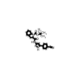 CC(C)(C)OC(=O)N1c2ccccc2CC1C(=O)Nc1cc(-c2ccc(C#N)cc2)[nH]n1